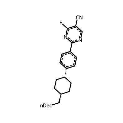 CCCCCCCCCCC[C@H]1CC[C@H](c2ccc(-c3ncc(C#N)c(F)n3)cc2)CC1